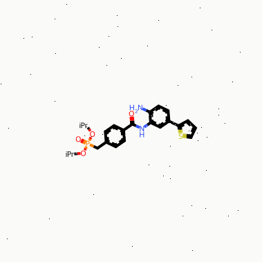 CC(C)OP(=O)(Cc1ccc(C(=O)Nc2cc(-c3cccs3)ccc2N)cc1)OC(C)C